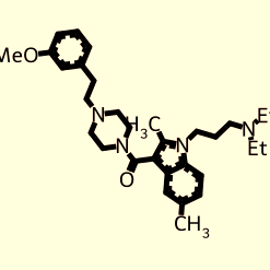 CCN(CC)CCCn1c(C)c(C(=O)N2CCN(CCc3cccc(OC)c3)CC2)c2cc(C)ccc21